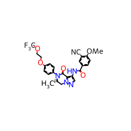 COc1ccc(C(=O)Nc2cnn3c2C(=O)N(c2ccc(OCCOC(F)(F)F)cc2)[C@@H](C)C3)cc1C#N